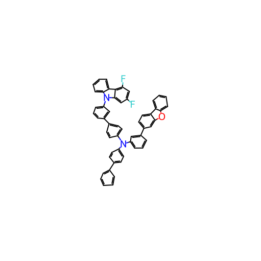 Fc1cc(F)c2c3ccccc3n(-c3cccc(-c4ccc(N(c5ccc(-c6ccccc6)cc5)c5cccc(-c6ccc7c(c6)oc6ccccc67)c5)cc4)c3)c2c1